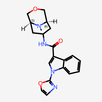 CN1[C@@H]2COC[C@H]1CC(NC(=O)c1cn(-c3ncco3)c3ccccc13)C2